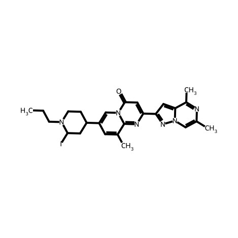 CCCN1CCC(c2cc(C)c3nc(-c4cc5c(C)nc(C)cn5n4)cc(=O)n3c2)CC1I